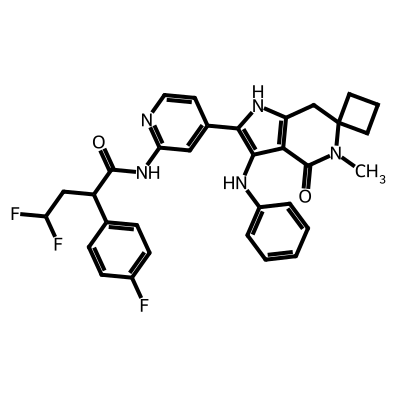 CN1C(=O)c2c([nH]c(-c3ccnc(NC(=O)C(CC(F)F)c4ccc(F)cc4)c3)c2Nc2ccccc2)CC12CCC2